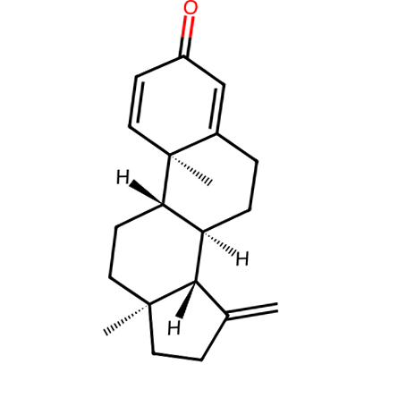 C=C1CC[C@@]2(C)CC[C@H]3[C@@H](CCC4=CC(=O)C=C[C@@]43C)[C@H]12